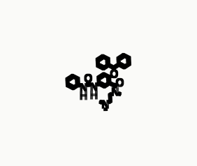 CN(C)CCN(C)C(=O)c1cc(NC(=O)Nc2ccccc2)ccc1OC(c1ccccc1)c1ccccc1